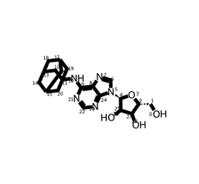 OC[C@H]1O[C@@H](n2cnc3c(NC45CC6CC(CC(C6)C4)C5)ncnc32)C(O)C1O